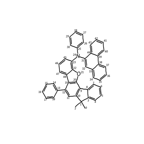 CC1(C)c2ccccc2-c2c1cc(-c1ccccc1)c1c2oc2c(N(c3ccccc3)c3cc4ccccc4c4ccccc34)cccc21